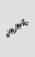 O=C(Nc1cc(Oc2ccc3c(c2)CCN3C(=O)Nc2ccc(N3CCOCC3)c(C(F)(F)F)c2)ncn1)c1cccnc1